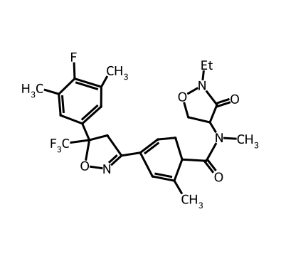 CCN1OCC(N(C)C(=O)C2CC=C(C3=NOC(c4cc(C)c(F)c(C)c4)(C(F)(F)F)C3)C=C2C)C1=O